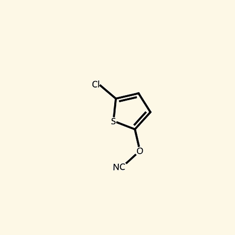 N#COc1ccc(Cl)s1